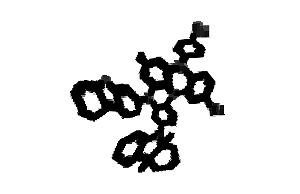 Cc1cc2c3c(c1)N(c1ccc4c(c1)oc1ccccc14)c1cc(N4c5ccccc5C5(C)CCCCC45C)ccc1B3c1cc(C(C)(C)C)ccc1N2c1ccc(C(C)(C)C)cc1